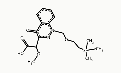 COC(C(=O)O)c1nn(COCC[Si](C)(C)C)c2ccccc2c1=O